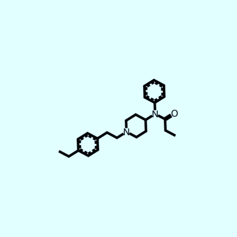 CCC(=O)N(c1ccccc1)C1CCN(CCc2ccc(CC)cc2)CC1